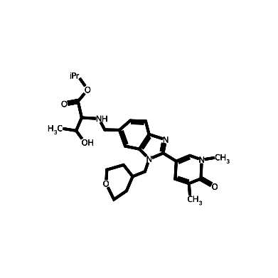 Cc1cc(-c2nc3ccc(CNC(C(=O)OC(C)C)C(C)O)cc3n2CC2CCOCC2)cn(C)c1=O